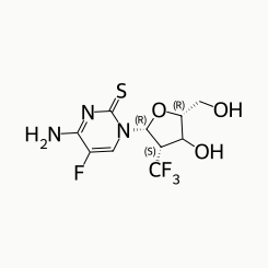 Nc1nc(=S)n([C@@H]2O[C@H](CO)C(O)[C@@H]2C(F)(F)F)cc1F